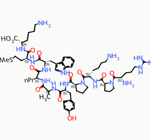 CCC[C@H](NC(=O)[C@H](C)NC(=O)[C@H](Cc1ccc(O)cc1)NC(=O)[C@@H]1CCCN1C(=O)[C@H](CCCCN)NC(=O)[C@@H]1CCCN1C(=O)[C@@H](N)CCCNC(=N)N)C(=O)N[C@@H](Cc1c[nH]c2ccccc12)C(=O)N[C@@H](CCSC)C(=O)N[C@@H](CCCCN)C(=O)O